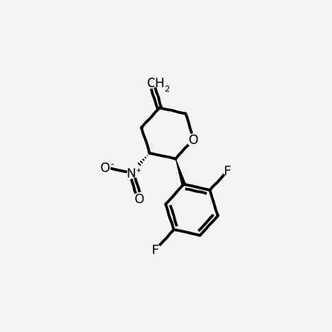 C=C1CO[C@@H](c2cc(F)ccc2F)[C@H]([N+](=O)[O-])C1